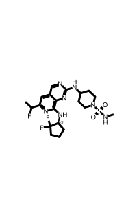 CNS(=O)(=O)N1CCC(Nc2ncc3cc(C(C)F)nc(N[C@H]4CCCC4(F)F)c3n2)CC1